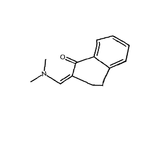 CN(C)C=C1CCc2ccccc2C1=O